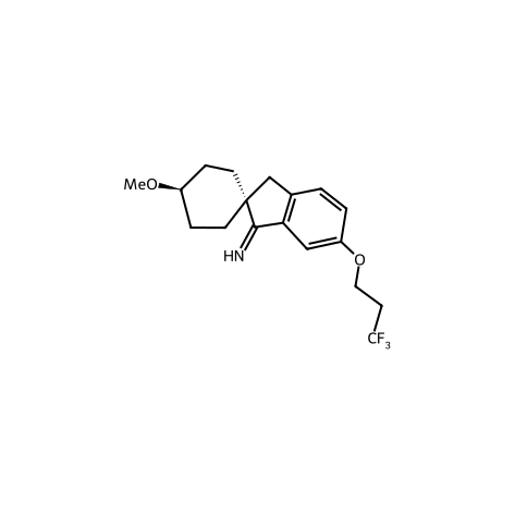 CO[C@H]1CC[C@]2(CC1)Cc1ccc(OCCC(F)(F)F)cc1C2=N